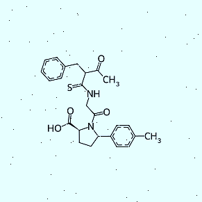 CC(=O)C(Cc1ccccc1)C(=S)NCC(=O)N1C(c2ccc(C)cc2)CC[C@H]1C(=O)O